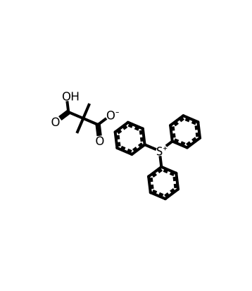 CC(C)(C(=O)[O-])C(=O)O.c1ccc([S+](c2ccccc2)c2ccccc2)cc1